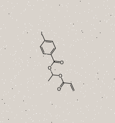 C=CC(=O)OC(C)OC(=O)c1ccc(I)cc1